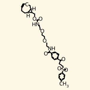 Cc1ccc(S(=O)(=O)CCC(=O)c2ccc(C(=O)NCCOCCOCCNC(=O)OCC3[C@H]4CCC#CCC[C@@H]34)cc2)cc1